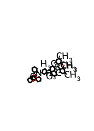 Cc1cc(C)c(B(c2c(C)cc(C)cc2C)c2ccc3c4c(cccc24)Oc2cc(N(c4ccccc4-c4ccccc4)c4cccc5c4oc4ccccc45)ccc2-3)c(C)c1